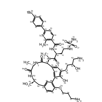 C[C@@H]1NC(=O)[C@@H](N(C)C(=O)[C@H](CCNS(N)(=O)=O)NC(=O)c2cnc(-c3ccc(C(C)(C)C)cc3)nc2N)c2cc(OC[C@H](O)CN)c(O)c(c2)-c2cc(ccc2OCCCN)C[C@@H](C(=O)O)NC1=O